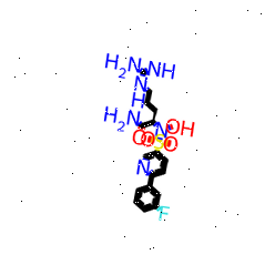 N=C(N)NCCC[C@H](C(N)=O)N(O)S(=O)(=O)c1ccc(-c2cccc(F)c2)nc1